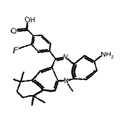 CN1c2ccc(N)cc2N=C(c2ccc(C(=O)O)c(F)c2)c2cc3c(cc21)C(C)(C)CCC3(C)C